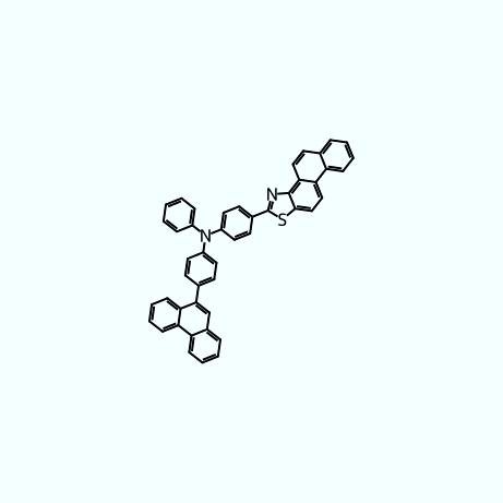 c1ccc(N(c2ccc(-c3nc4c(ccc5c6ccccc6ccc54)s3)cc2)c2ccc(-c3cc4ccccc4c4ccccc34)cc2)cc1